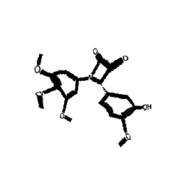 COc1ccc([C@H]2C(=O)C(=O)N2c2cc(OC)c(OC)c(OC)c2)cc1O